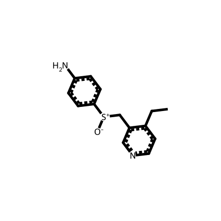 CCc1ccncc1C[S+]([O-])c1ccc(N)cc1